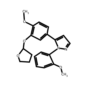 COc1ccc(-c2ccnn2-c2ccccc2OC)cc1OC1CCCO1